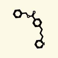 O=C(OCc1ccccc1)c1ccc(CCCc2ccccn2)cc1